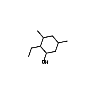 CCC1C(C)CC(C)CC1O